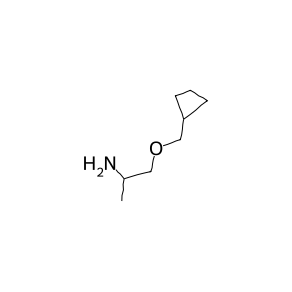 CC(N)COCC1CCC1